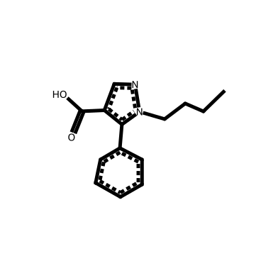 CCCCn1ncc(C(=O)O)c1-c1ccccc1